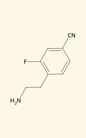 N#Cc1ccc(CCN)c(F)c1